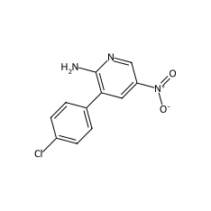 Nc1ncc([N+](=O)[O-])cc1-c1ccc(Cl)cc1